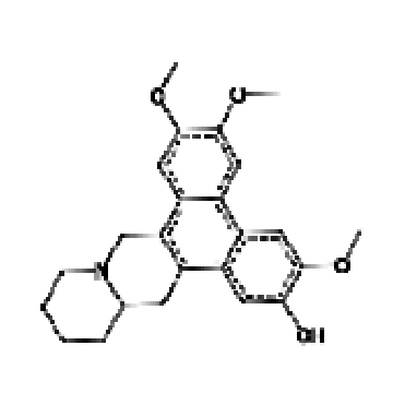 COc1cc2c(cc1O)c1c(c3cc(OC)c(OC)cc32)CN2CCCCC2C1